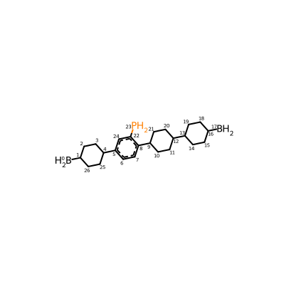 BC1CCC(c2ccc(C3CCC(C4CCC(B)CC4)CC3)c(P)c2)CC1